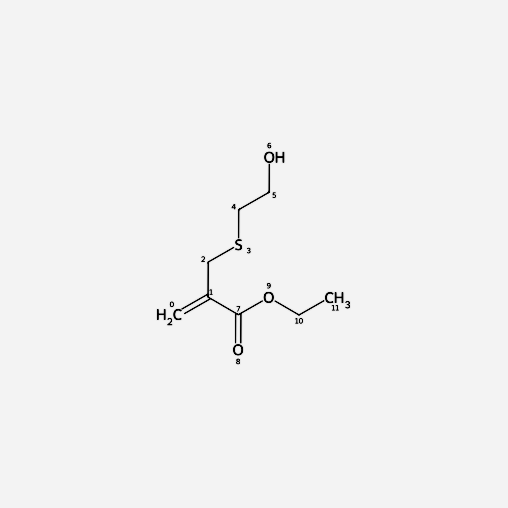 C=C(CSCCO)C(=O)OCC